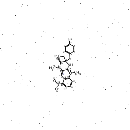 CCC1(Cc2ccc(F)cc2)NC(=O)/C(=C\c2c(OC)cccc2[N+](=O)[O-])N(C)C1=O